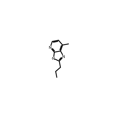 CCCC1=Nc2c(C)ccnc2[N]1